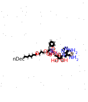 CCCCCCCCCCCCCCCCOCCCOC(=O)[C@@H](C)N(Oc1ccccc1)[PH](=O)OCC1O[C@@H](n2cc(C(N)=S)c3c(N)ncnc32)[C@H](O)[C@@H]1O